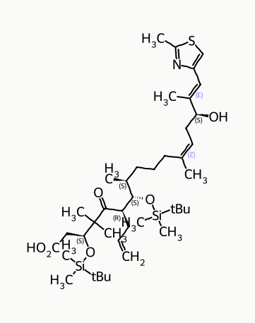 C=CC[C@@H](C(=O)C(C)(C)[C@H](CC(=O)O)O[Si](C)(C)C(C)(C)C)[C@@H](O[Si](C)(C)C(C)(C)C)[C@@H](C)CCC/C(C)=C\C[C@H](O)/C(C)=C/c1csc(C)n1